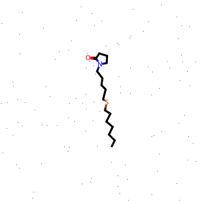 CCCCCCCSCCCCCN1CCCC1=O